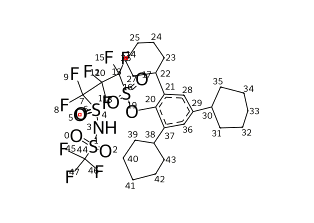 O=S(=O)(NS(=O)(=O)C(F)(F)C(F)(F)C(F)(F)S(=O)(=O)Oc1c(C2CCCCC2)cc(C2CCCCC2)cc1C1CCCCC1)C(F)(F)F